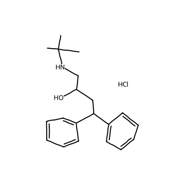 CC(C)(C)NCC(O)CC(c1ccccc1)c1ccccc1.Cl